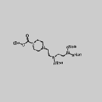 CCCCCCCCCN(CCCCCCCCC)CCN(CCCCCCCCC)CCN1CCN(C(=O)OC(C)(C)C)CC1